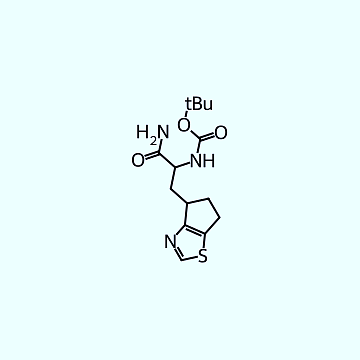 CC(C)(C)OC(=O)NC(CC1CCc2scnc21)C(N)=O